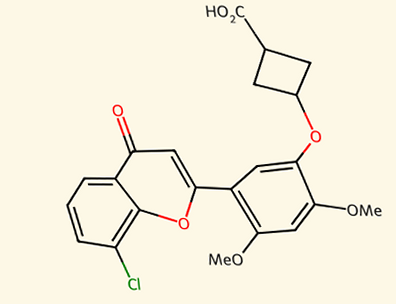 COc1cc(OC)c(-c2cc(=O)c3cccc(Cl)c3o2)cc1OC1CC(C(=O)O)C1